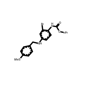 CCCOC(=O)Nc1ccc(NCc2ccc(SC)cc2)cc1Br